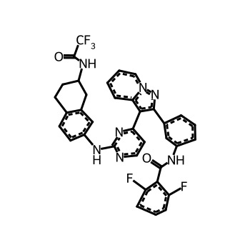 O=C(Nc1cccc(-c2nn3ccccc3c2-c2ccnc(Nc3ccc4c(c3)CC(NC(=O)C(F)(F)F)CC4)n2)c1)c1c(F)cccc1F